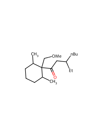 CCCCC(CC)CC(=O)C1(COC)C(C)CCCC1C